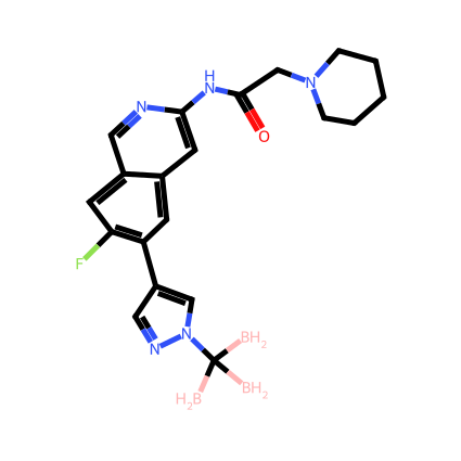 BC(B)(B)n1cc(-c2cc3cc(NC(=O)CN4CCCCC4)ncc3cc2F)cn1